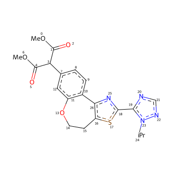 COC(=O)C(C(=O)OC)c1ccc2c(c1)OCCc1sc(-c3ncnn3C(C)C)nc1-2